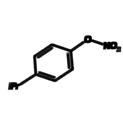 CC(C)c1ccc(O[N+](=O)[O-])cc1